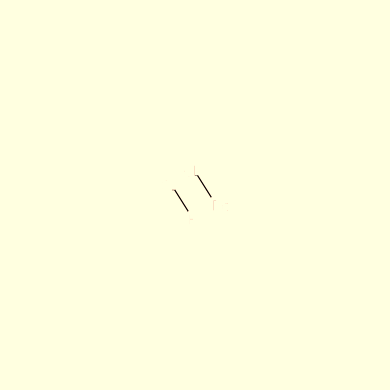 [Cl][K].[Cl][Pd]